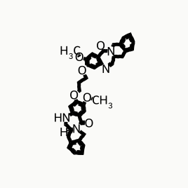 COc1cc2c(cc1OCCCOc1cc3c(cc1OC)C(=O)N1Cc4ccccc4C[C@H]1CN3)N=CC1Cc3ccccc3CN1C2=O